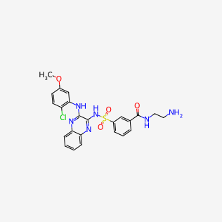 COc1ccc(Cl)c(Nc2nc3ccccc3nc2NS(=O)(=O)c2cccc(C(=O)NCCN)c2)c1